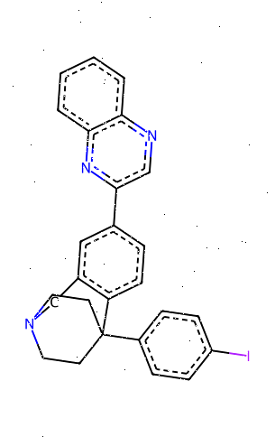 Ic1ccc(C23CCN(CC2)Cc2cc(-c4cnc5ccccc5n4)ccc23)cc1